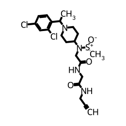 C#CCNC(=O)CNC(=O)CN(C1CCN(C(C)c2ccc(Cl)cc2Cl)CC1)[S+](C)[O-]